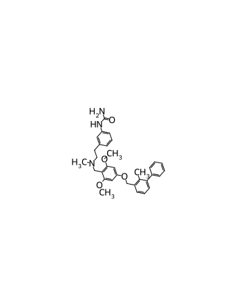 COc1cc(OCc2cccc(-c3ccccc3)c2C)cc(OC)c1CN(C)CCc1cccc(NC(N)=O)c1